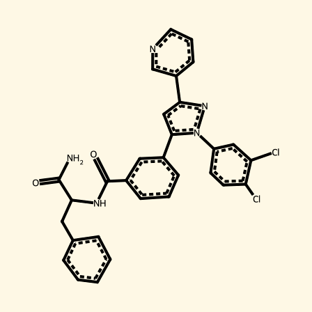 NC(=O)C(Cc1ccccc1)NC(=O)c1cccc(-c2cc(-c3cccnc3)nn2-c2ccc(Cl)c(Cl)c2)c1